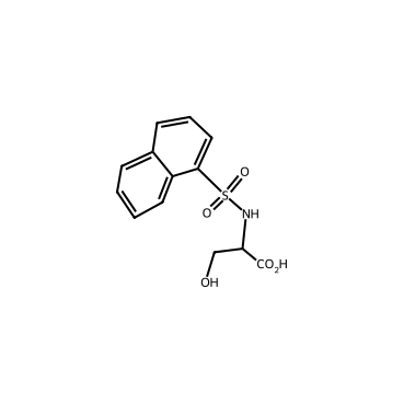 O=C(O)C(CO)NS(=O)(=O)c1cccc2ccccc12